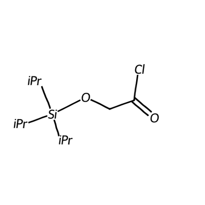 CC(C)[Si](OCC(=O)Cl)(C(C)C)C(C)C